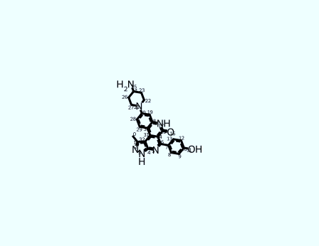 Cc1n[nH]c2nc(-c3ccc(O)cc3)c3c(=O)[nH]c4cc(N5CCC(N)CC5)ccc4c3c12